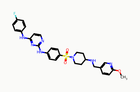 COc1ccc(CNC2CCN(S(=O)(=O)c3ccc(Nc4nccc(Nc5ccc(F)cc5)n4)cc3)CC2)cn1